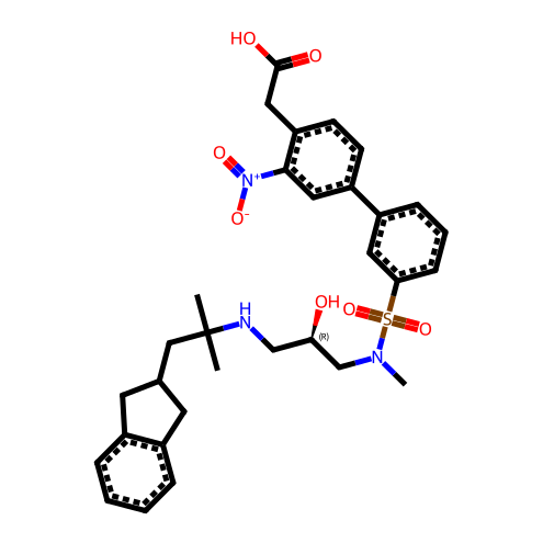 CN(C[C@H](O)CNC(C)(C)CC1Cc2ccccc2C1)S(=O)(=O)c1cccc(-c2ccc(CC(=O)O)c([N+](=O)[O-])c2)c1